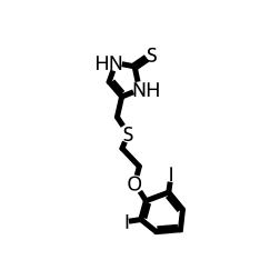 S=c1[nH]cc(CSCCOc2c(I)cccc2I)[nH]1